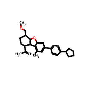 C=C(C)C1CCC(COC)C2Oc3cc(-c4ccc(C5CCCC5)cc4)cc(C)c3C12